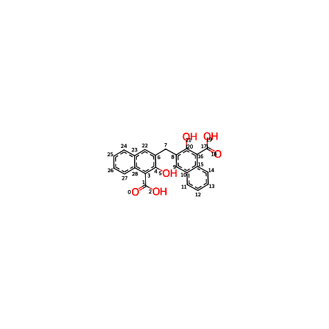 O=C(O)c1c(O)c(Cc2cc3ccccc3c(C(=O)O)c2O)cc2ccccc12